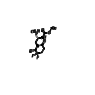 CC(C)(C)OC(=O)N[C@@H](CC(=O)O)CN1C(=O)CCC(F)(F)C1=O